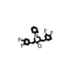 O=C1/C(=C/c2ccc(F)c(F)c2)CN(c2ccccc2)C/C1=C\c1ccc(F)c(F)c1